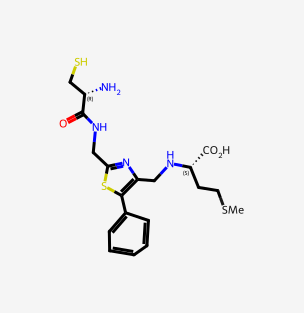 CSCC[C@H](NCc1nc(CNC(=O)[C@@H](N)CS)sc1-c1ccccc1)C(=O)O